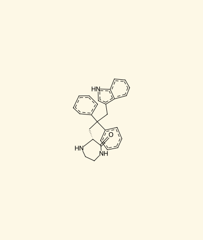 O=C1NCCN[C@@H]1CC(Cc1c[nH]c2ccccc12)(c1ccccc1)c1ccccc1